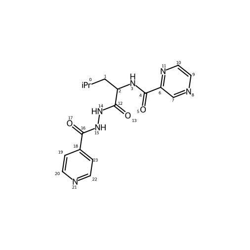 CC(C)CC(NC(=O)c1cnccn1)C(=O)NNC(=O)c1ccncc1